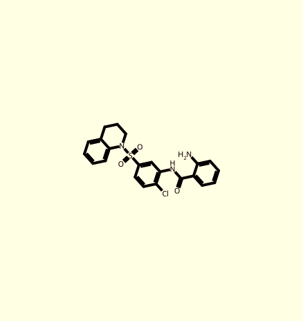 Nc1ccccc1C(=O)Nc1cc(S(=O)(=O)N2CCCc3ccccc32)ccc1Cl